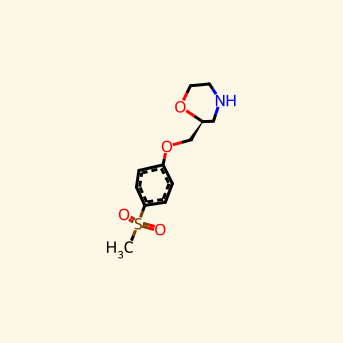 CS(=O)(=O)c1ccc(OC[C@@H]2CNCCO2)cc1